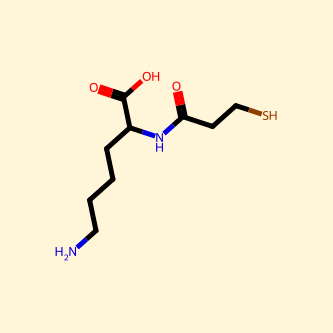 NCCCCC(NC(=O)CCS)C(=O)O